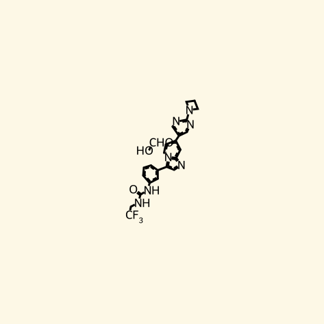 O=C(NCC(F)(F)F)Nc1cccc(-c2cnc3cc(-c4cnc(N5CCC5)nc4)ccn23)c1.O=CO